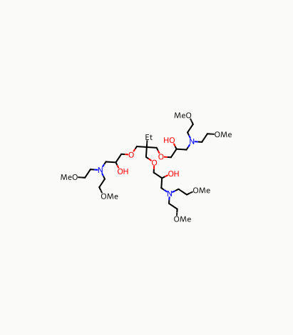 CCC(COCC(O)CN(CCOC)CCOC)(COCC(O)CN(CCOC)CCOC)COCC(O)CN(CCOC)CCOC